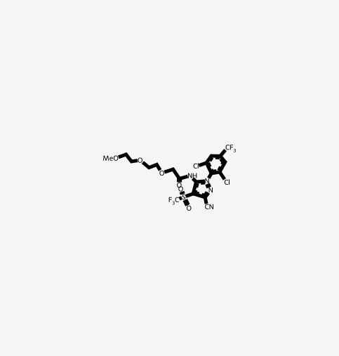 COCCOCCOCC(=O)Nc1c(S(=O)(=O)C(F)(F)F)c(C#N)nn1-c1c(Cl)cc(C(F)(F)F)cc1Cl